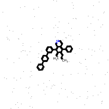 C=C/C=c1/c(-c2ccccc2)c2ccncc2c(-c2cccc(-c3ccc(-c4ccccc4)cc3)c2)/c1=C/C